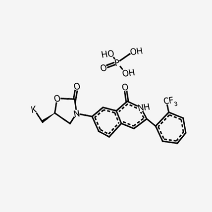 O=C1O[C@H]([CH2][K])CN1c1ccc2cc(-c3ccccc3C(F)(F)F)[nH]c(=O)c2c1.O=P(O)(O)O